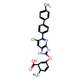 Cc1ccc(-c2ccc(-c3nc4nc(OC5=CC(C(=O)O)C(C)C=C5)[nH]c4cc3Cl)cc2)cc1